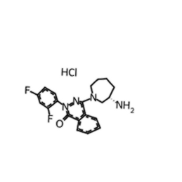 Cl.N[C@H]1CCCCN(c2nn(-c3ccc(F)cc3F)c(=O)c3ccccc23)C1